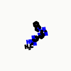 Cc1nc2cc(-c3ccc4ncnc(N5CCc6ccccc6C5)c4n3)cnc2[nH]1